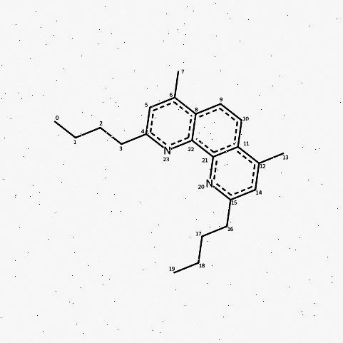 CCCCc1cc(C)c2ccc3c(C)cc(CCCC)nc3c2n1